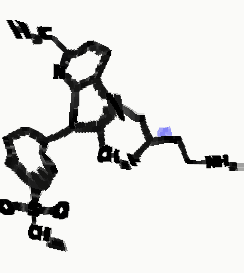 Cc1ccc2c(n1)c(-c1cccc(S(C)(=O)=O)c1)c(C)n2C/C(F)=C/CN